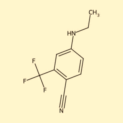 CCNc1ccc(C#N)c(C(F)(F)F)c1